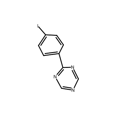 Ic1ccc(-c2ncncn2)cc1